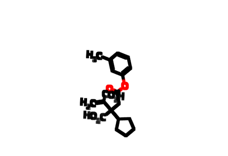 C=C(C(=O)O)C(CC(=O)Oc1cccc(C)c1)(C(=O)O)C1CCCC1